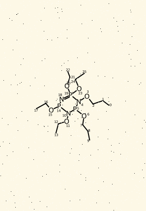 CCCON1P(OCCC)N(OCC)P(OCC)N=P1(OCC)OCC